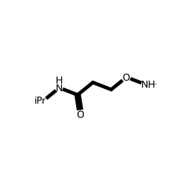 CC(C)NC(=O)CCO[NH]